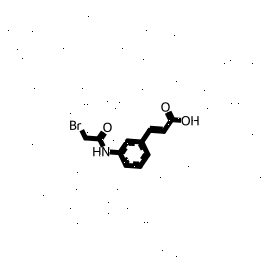 O=C(O)C=Cc1cccc(NC(=O)CBr)c1